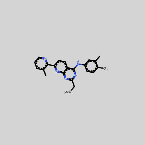 COCc1nc(Nc2ccc(C(F)(F)F)c(C)c2)c2ccc(-c3ncccc3C)nc2n1